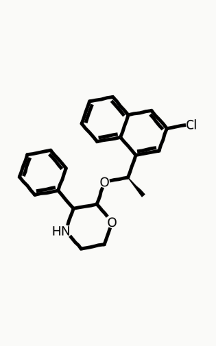 C[C@@H](OC1OCCNC1c1ccccc1)c1cc(Cl)cc2ccccc12